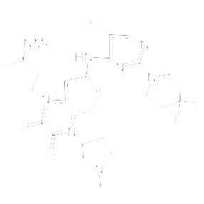 CNC(=O)CCn1c(=O)c(=O)n(C2CCN(C)C2)c2ccc(Nc3nc(N4C[C@@H](C)C(F)(F)[C@@H](C)C4)ncc3Cl)cc21